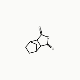 O=C1OC(=O)C2C3CCC(C3)C12